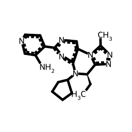 CC[C@@H]1c2nnc(C)n2-c2cnc(-c3ccncc3N)nc2N1C1CCCC1